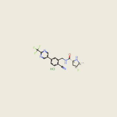 C[C@H]1N[C@@H](C(=O)NCc2cc(-c3cnc(C(F)(F)F)nc3)ccc2C#N)C[C@H]1F.Cl